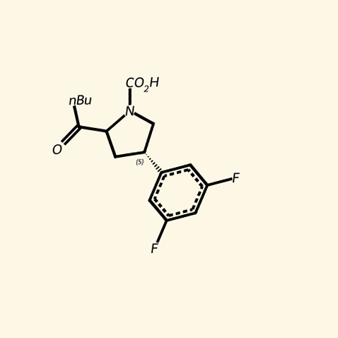 CCCCC(=O)C1C[C@@H](c2cc(F)cc(F)c2)CN1C(=O)O